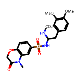 COc1ccc(CC(NC(=O)O)NS(=O)(=O)c2ccc3c(c2)N(C)C(=O)CO3)cc1OC